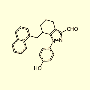 O=Cc1nn(-c2ccc(O)cc2)c2c1CCCC2Cc1cccc2ccccc12